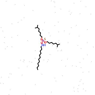 CCCCCCCCCCCCNOP(=S)(OCCCCCC(C)C)OCCCCCC(C)C